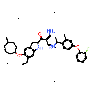 CCc1cc2c(cc1OC1CCCC(C)CC1)CC(C(=O)C(/C=N\C(C)c1ccc(Oc3ccccc3F)cc1C)=C\N)N2